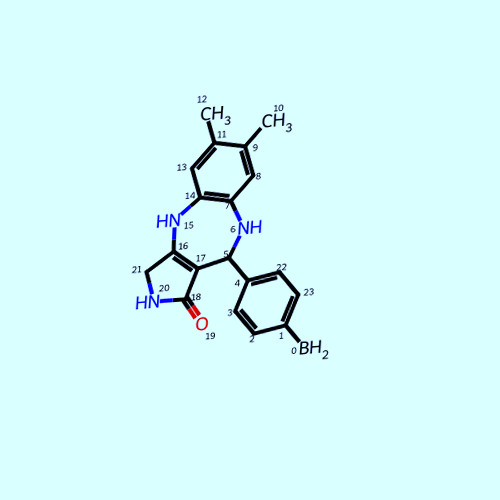 Bc1ccc(C2Nc3cc(C)c(C)cc3NC3=C2C(=O)NC3)cc1